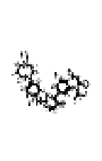 CC(C)N1C(=O)CN(C)c2c(F)cc(-c3nc(Nc4ccc(N5CCCNCC5)cn4)ncc3F)cc21